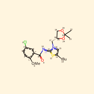 COc1ccc(Cl)cc1C(=O)/N=c1\sc(C(C)(C)C)cn1C[C@@H]1COC(C)(C)O1